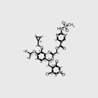 CS(=O)(=O)Nc1ncc(C(=O)OCC(=O)O[C@@H](Cc2c(Cl)c[n+]([O-])cc2Cl)c2ccc(OC(F)F)c(OCC3CC3)c2)cn1